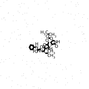 CC(C)C[C@H](NC(=O)C(=O)Nc1ccccc1F)C(=O)N[C@@H](C[C@@H]1CCNC1=O)C(=O)COC(=O)OC(C)C